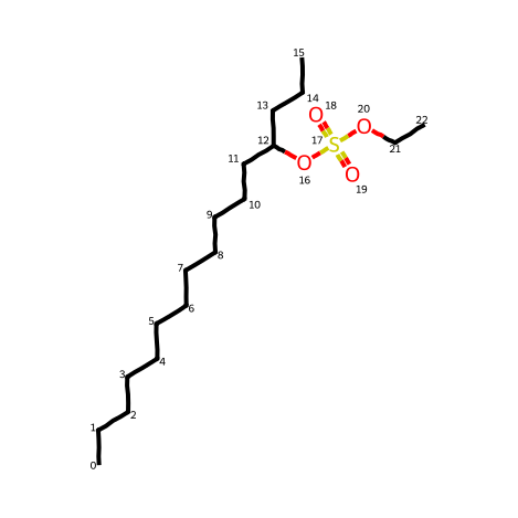 CCCCCCCCCCCCC(CCC)OS(=O)(=O)OCC